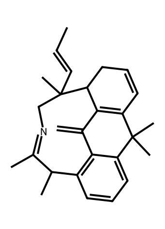 C=C1C2=C3C=CCC2C(C)(C=CC)C/N=C(\C)C(C)c2cccc(c21)C3(C)C